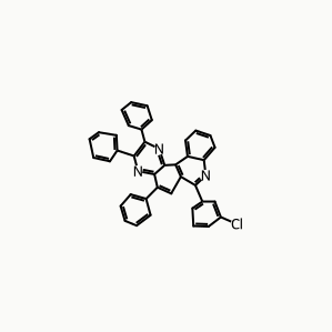 Clc1cccc(-c2nc3ccccc3c3c2cc(-c2ccccc2)c2nc(-c4ccccc4)c(-c4ccccc4)nc23)c1